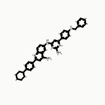 Nc1nc(Nc2ccc3nc(-c4ccc(C5CCCCC5)cc4)cc(N)c3c2)cc(-c2ccc(OCc3ccccc3)cc2)n1